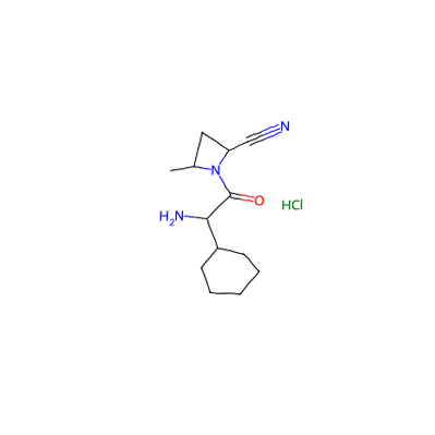 CC1CC(C#N)N1C(=O)C(N)C1CCCCC1.Cl